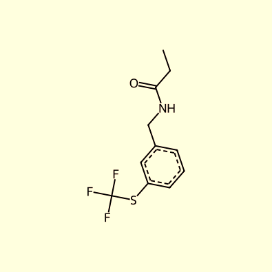 CCC(=O)NCc1cccc(SC(F)(F)F)c1